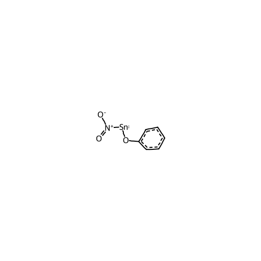 O=[N+]([O-])[Sn][O]c1ccccc1